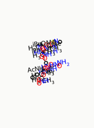 CC[C@H](C)[C@@H]([C@@H](CC(=O)N1CCC[C@H]1[C@H](OC)[C@@H](C)C(=O)N[C@@H](Cc1ccccc1)c1nccs1)OC)N(C)C(=O)[C@@H](NC(=O)C(C)(C)NC(=O)OCc1ccc(NC(=O)[C@H](CCCNC(N)=O)NC(=O)[C@@H](NC(=O)[C@@H](CC(C)(C)OCCC(C)(C)NC(=O)OCC2c3ccccc3-c3ccccc32)NC(C)=O)C(C)C)cc1)C(C)C